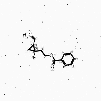 C=C[C@@H]1C[C@@]1(F)CCOC(=O)c1ccccc1